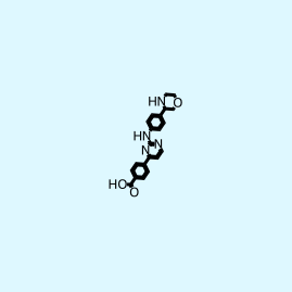 O=C(O)c1ccc(-c2ccnc(Nc3ccc(C4COCCN4)cc3)n2)cc1